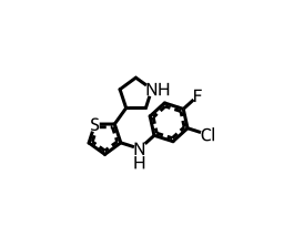 Fc1ccc(Nc2ccsc2C2CCNC2)cc1Cl